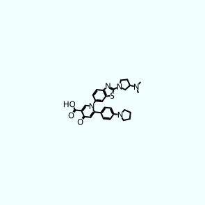 CN(C)C1CCN(c2nc3ccc(-n4cc(C(=O)O)c(=O)cc4-c4ccc(N5CCCC5)cc4)cc3s2)C1